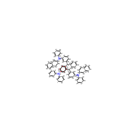 c1ccc(N(c2ccccc2)c2ccc3c(c2)C2(c4cccc(N(c5ccccc5)c5ccc6ccccc6c5)c4)c4ccccc4C3(c3cccc(N(c4ccccc4)c4ccc5ccccc5c4)c3)c3ccccc32)cc1